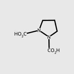 O=C(O)N1CCCN1C(=O)O